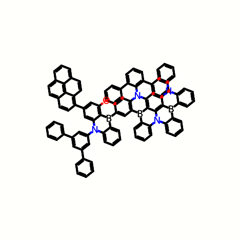 c1ccc(-c2cc(-c3ccccc3)cc(N3c4ccccc4B4c5cc6c(cc5Oc5cc(-c7ccc8ccc9cccc%10ccc7c8c9%10)cc3c54)N(c3c(-c4ccccc4)cccc3-c3ccccc3)c3cc4c5c7c3B6c3ccccc3N7c3ccccc3B5c3ccccc3N4c3ccccc3)c2)cc1